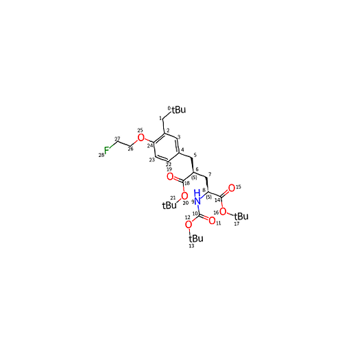 CC(C)(C)Cc1cc(C[C@@H](C[C@H](NC(=O)OC(C)(C)C)C(=O)OC(C)(C)C)C(=O)OC(C)(C)C)ccc1OCCF